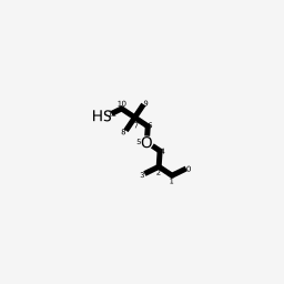 CCC(C)COCC(C)(C)CS